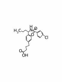 CCCC(NS(=O)(=O)c1ccc(Cl)cc1)c1ccc(CCCC(=O)O)cc1